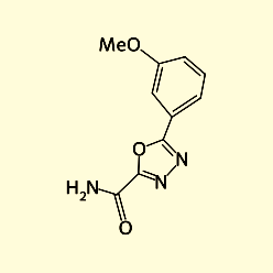 COc1cccc(-c2nnc(C(N)=O)o2)c1